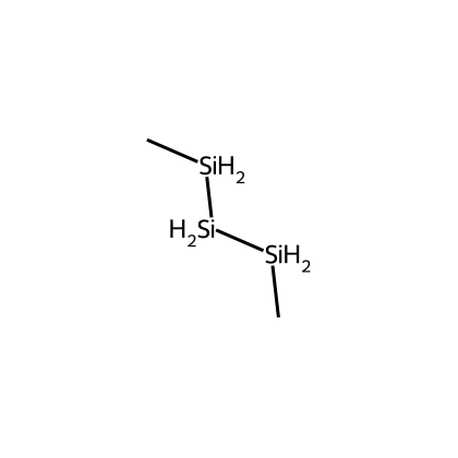 C[SiH2][SiH2][SiH2]C